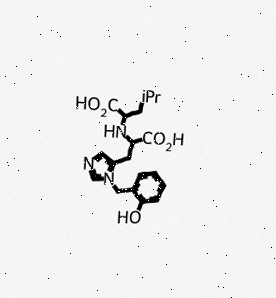 CC(C)CC(NC(Cc1cncn1Cc1ccccc1O)C(=O)O)C(=O)O